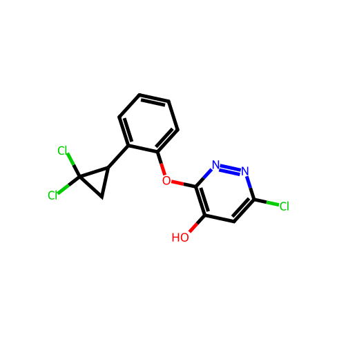 Oc1cc(Cl)nnc1Oc1ccccc1C1CC1(Cl)Cl